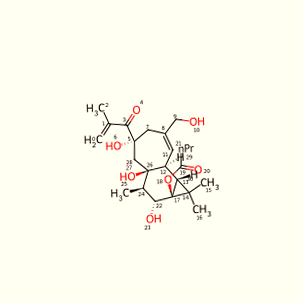 C=C(C)C(=O)[C@@]1(O)CC(CO)=C[C@H]2[C@@H]3C(C)(C)[C@]3(OC(=O)CCC)[C@H](O)[C@@H](C)[C@]2(O)C1